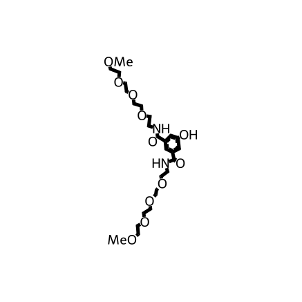 COCCOCCOCCOCCNC(=O)c1cc(O)cc(C(=O)NCCOCCOCCOCCOC)c1